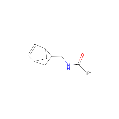 CC(C)C(=O)NCC1CC2C=CC1C2